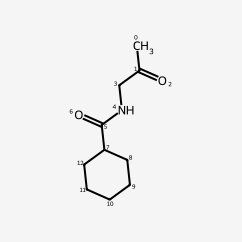 CC(=O)CNC(=O)C1CCCCC1